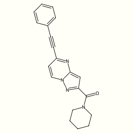 O=C(c1cc2nc(C#Cc3ccccc3)ccn2n1)N1CCCCC1